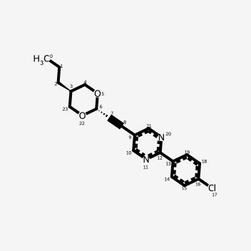 CCC[C@H]1CO[C@H](C#Cc2cnc(-c3ccc(Cl)cc3)nc2)OC1